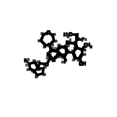 C/C=C(F)\C(CC)=C1\C(c2ncc3c(N4CCCOCC4)nc(OCC45CCCN4C[C@H](F)C5)nc3c2F)=CC(O)=CC1C